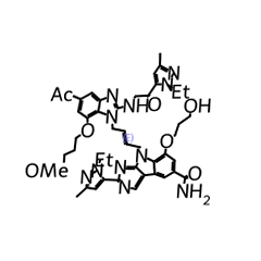 CCn1nc(C)cc1C(=O)CNc1nc2cc(C(C)=O)cc(OCCCOC)c2n1C/C=C/Cn1c2nc(-c3cc(C)nn3CC)ncc2c2cc(C(N)=O)cc(OCCCO)c21